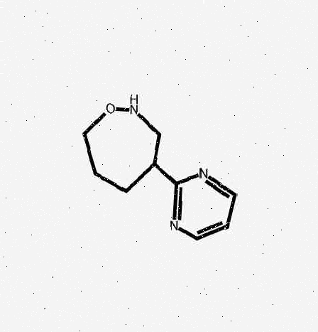 c1cnc(C2CCCONC2)nc1